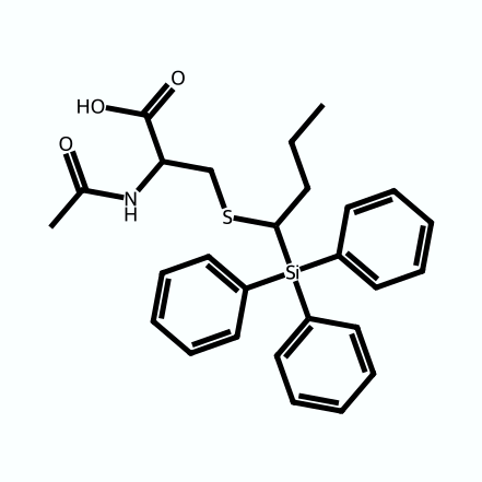 CCCC(SCC(NC(C)=O)C(=O)O)[Si](c1ccccc1)(c1ccccc1)c1ccccc1